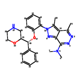 Cc1nnc(N(C)C)c2nn(-c3ccccc3O[C@H](c3ccccc3)C3CNCCO3)c(C)c12